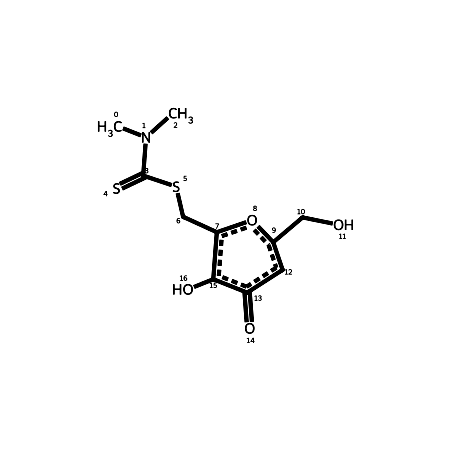 CN(C)C(=S)SCc1oc(CO)cc(=O)c1O